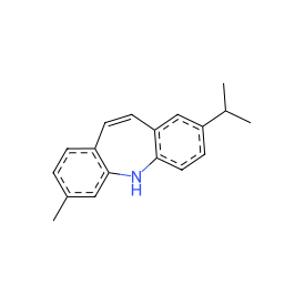 Cc1ccc2c(c1)Nc1ccc(C(C)C)cc1C=C2